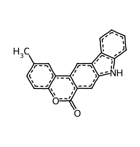 Cc1ccc2oc(=O)c3cc4[nH]c5ccccc5c4cc3c2c1